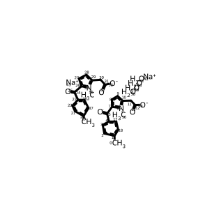 Cc1ccc(C(=O)c2ccc(CC(=O)[O-])n2C)cc1.Cc1ccc(C(=O)c2ccc(CC(=O)[O-])n2C)cc1.O.O.O.O.[Na+].[Na+]